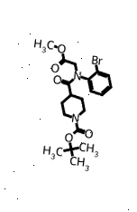 COC(=O)CN(C(=O)C1CCN(C(=O)OC(C)(C)C)CC1)c1ccccc1Br